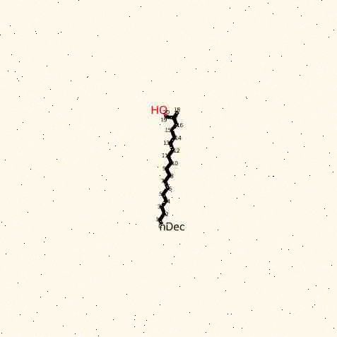 CCCCCCCCCCCCCCCCCCCCCCCCCCC(C)CO